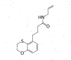 C=CCNC(=O)CCCc1cccc2c1SCCO2